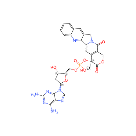 CC[C@@]1(OP(=O)(O)OC[C@H]2O[C@@H](n3cnc4c(N)nc(N)nc43)C[C@@H]2O)C(=O)OCc2c1cc1n(c2=O)Cc2cc3ccccc3nc2-1